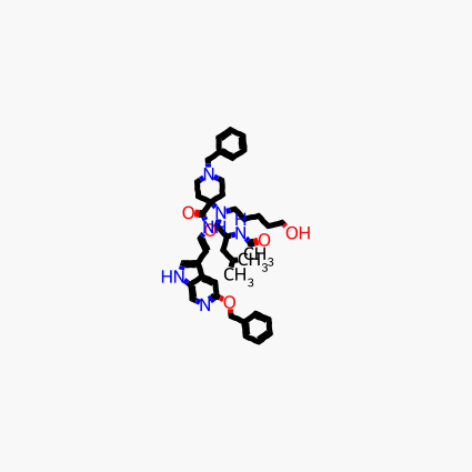 CC(=O)NC(CC(C)C)C(=O)N(CCCCCO)C1(C(=O)NC=Cc2c[nH]c3cnc(OCc4ccccc4)cc23)CCN(Cc2ccccc2)CC1